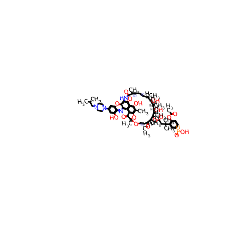 CO[C@H]1/C=C/O[C@@]2(C)Oc3c(C)c(O)c4c(=O)c(c5oc6cc(N7CCN(CC(C)C)CC7)cc(O)c6nc-5c4c3C2=O)NC(=O)/C(C)=C\C=C\[C@H](C)[C@H](O)[C@@H](C)[C@@H](O)[C@@H](C)[C@H](OC(=O)CC(C)(C)c2cc([PH](=O)O)ccc2OC(C)=O)[C@@H]1C